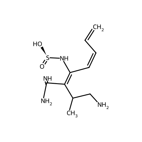 C=C/C=C\C(N[S@@](=O)O)=C(\C(=N)N)C(C)CN